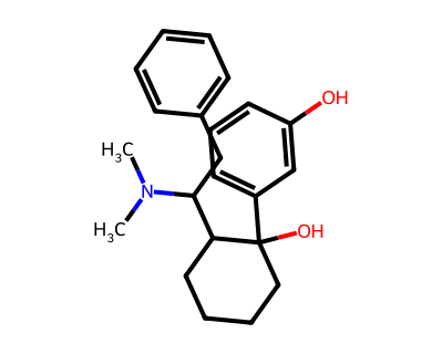 CN(C)C(Cc1ccccc1)C1CCCCC1(O)c1cccc(O)c1